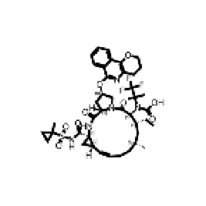 CC[C@@H]1C[C@H](C)CCC=C[C@@H]2C[C@@]2(C(=O)NS(=O)(=O)C2(C)CC2)NC(=O)[C@@H]2C[C@@H](Oc3nc4c(c5ccccc35)OCCC4)CN2C(=O)[C@H]1N(C(=O)O)C(C)(C)C(F)(F)F